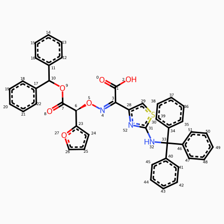 O=C(O)C(=NO[C@H](C(=O)OC(c1ccccc1)c1ccccc1)c1ccco1)c1csc(NC(c2ccccc2)(c2ccccc2)c2ccccc2)n1